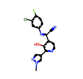 Cn1cc(-c2nccc(/C(C#N)=N/c3ccc(F)c(Cl)c3)c2O)cn1